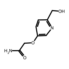 NC(=O)COc1ccc(CO)nc1